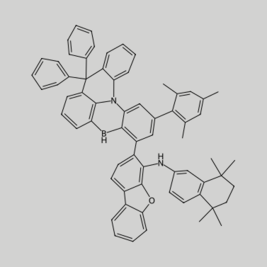 Cc1cc(C)c(-c2cc(-c3ccc4c(oc5ccccc54)c3Nc3ccc4c(c3)C(C)(C)CCC4(C)C)c3c(c2)N2c4ccccc4C(c4ccccc4)(c4ccccc4)c4cccc(c42)B3)c(C)c1